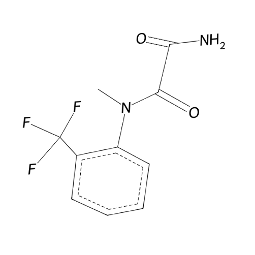 CN(C(=O)C(N)=O)c1ccccc1C(F)(F)F